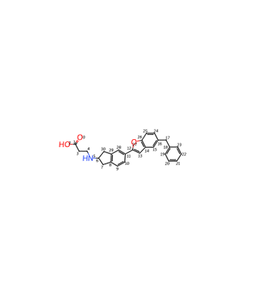 O=C(O)CCNC1Cc2ccc(-c3cc4cc(Cc5ccccc5)ccc4o3)cc2C1